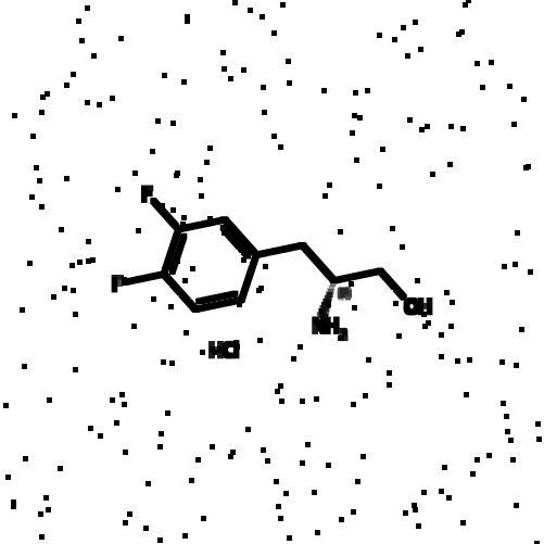 Cl.N[C@@H](CO)Cc1ccc(F)c(F)c1